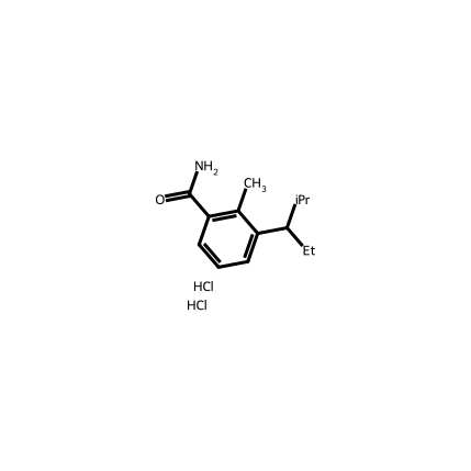 CCC(c1cccc(C(N)=O)c1C)C(C)C.Cl.Cl